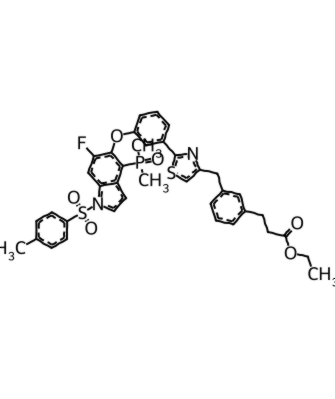 CCOC(=O)CCc1cccc(Cc2csc(-c3cccc(Oc4c(F)cc5c(ccn5S(=O)(=O)c5ccc(C)cc5)c4P(C)(C)=O)c3)n2)c1